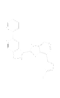 Fc1ccc(-c2cncc3[nH]c(-c4n[nH]c5cnc(-c6ccccn6)cc45)nc23)s1